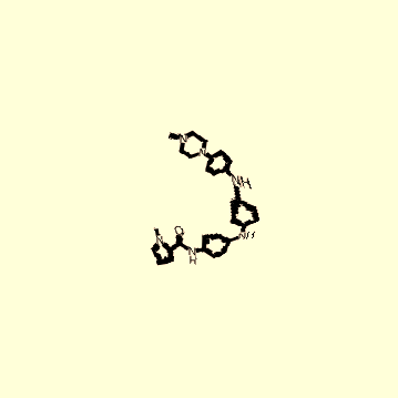 CN1CCN(c2ccc(Nc3ccc(Nc4ccc(NC(=O)c5cccn5C)cc4)cc3)cc2)CC1